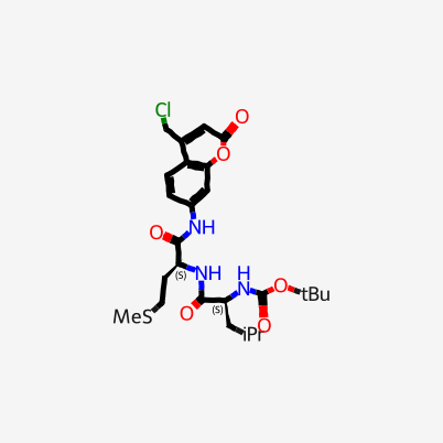 CSCC[C@H](NC(=O)[C@H](CC(C)C)NC(=O)OC(C)(C)C)C(=O)Nc1ccc2c(CCl)cc(=O)oc2c1